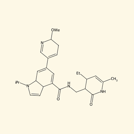 CCC1C=C(C)NC(=O)C1CNC(=O)C1=CC(C2=CCC(OC)N=C2)=CC2C1C=CN2C(C)C